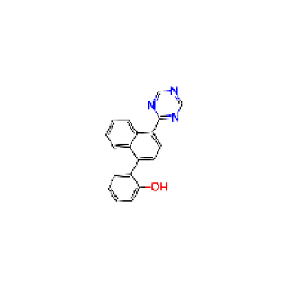 Oc1ccccc1-c1ccc(-c2ncncn2)c2ccccc12